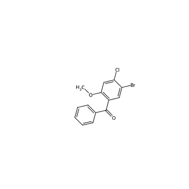 COc1cc(Cl)c(Br)cc1C(=O)c1ccccc1